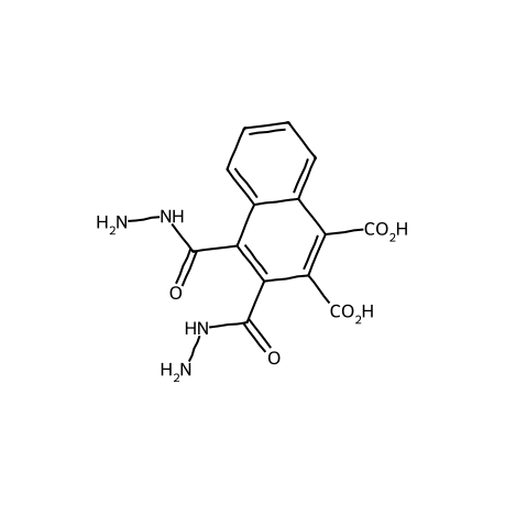 NNC(=O)c1c(C(=O)O)c(C(=O)O)c2ccccc2c1C(=O)NN